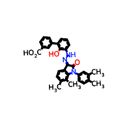 Cc1ccc(N2C(=O)/C(=N\Nc3cccc(-c4cccc(C(=O)O)c4)c3O)c3ccc(C)c(C)c32)cc1C